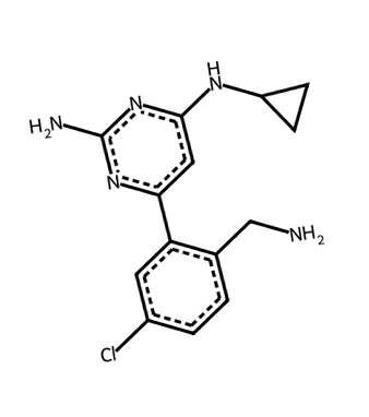 NCc1ccc(Cl)cc1-c1cc(NC2CC2)nc(N)n1